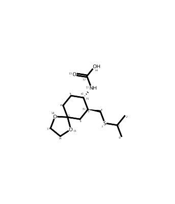 CC(C)SC[C@H]1CC2(CC[C@@H]1NC(=O)O)OCCO2